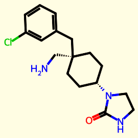 NC[C@]1(Cc2cccc(Cl)c2)CC[C@H](N2CCNC2=O)CC1